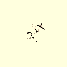 COC[C@@]1(O)COCC[C@H]1NC(=O)OC(C)(C)C